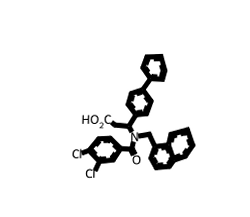 O=C(O)CC(c1ccc(-c2ccccc2)cc1)N(Cc1cccc2ccccc12)C(=O)c1ccc(Cl)c(Cl)c1